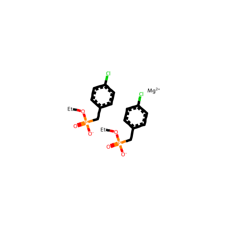 CCOP(=O)([O-])Cc1ccc(Cl)cc1.CCOP(=O)([O-])Cc1ccc(Cl)cc1.[Mg+2]